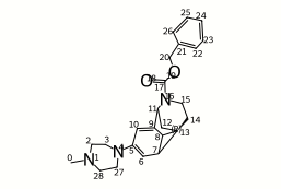 CN1CCN(C2=CC3C4C(=C2)C2C[C@]34CCN2C(=O)OCc2ccccc2)CC1